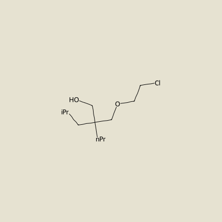 CCCC(CO)(COCCCl)CC(C)C